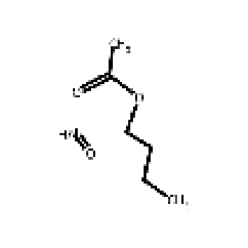 CCCCOC(C)=O.[O]=[AlH]